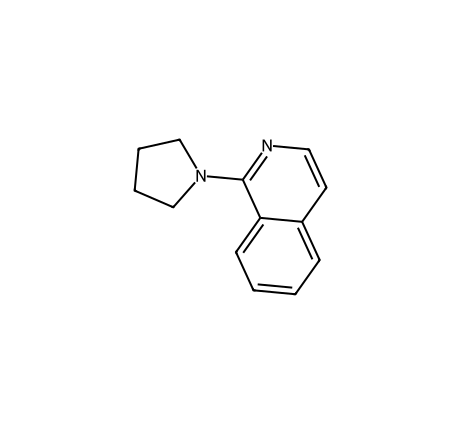 c1ccc2c(N3CCCC3)nccc2c1